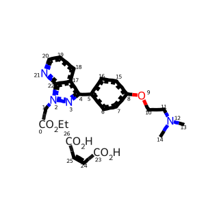 CCOC(=O)Cn1nc(-c2ccc(OCCN(C)C)cc2)c2cccnc21.O=C(O)/C=C\C(=O)O